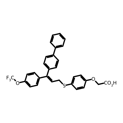 O=C(O)COc1ccc(SCC=C(c2ccc(OC(F)(F)F)cc2)c2ccc(-c3ccccc3)cc2)cc1